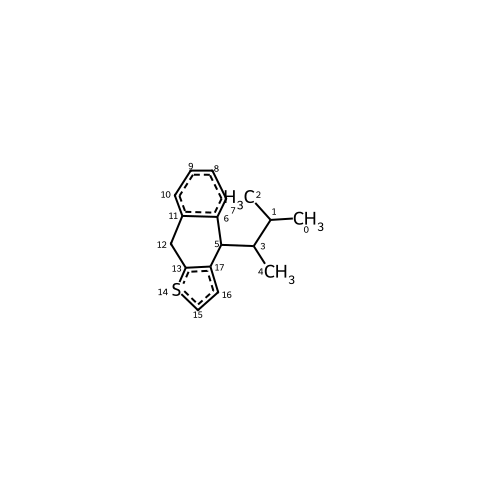 CC(C)C(C)C1c2ccccc2Cc2sccc21